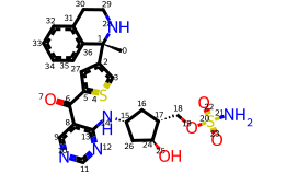 C[C@]1(c2csc(C(=O)c3cncnc3N[C@@H]3C[C@H](COS(N)(=O)=O)[C@@H](O)C3)c2)NCCc2ccccc21